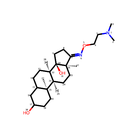 CN(C)CCON=C1CC[C@@]2(O)[C@@H]3CCC4CC(O)CC[C@]4(C)[C@@H]3CC[C@]12C